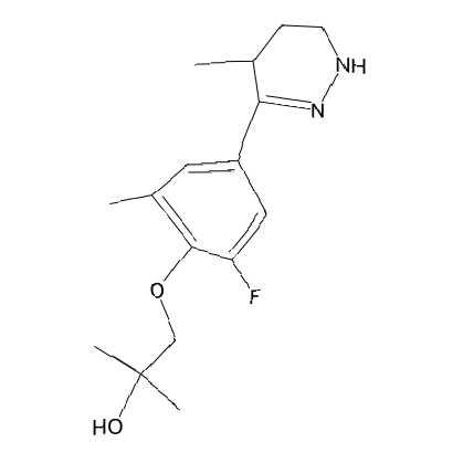 Cc1cc(C2=NNCCC2C)cc(F)c1OCC(C)(C)O